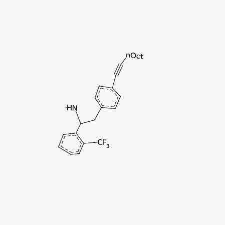 CCCCCCCCC#Cc1ccc(CC([NH])c2ccccc2C(F)(F)F)cc1